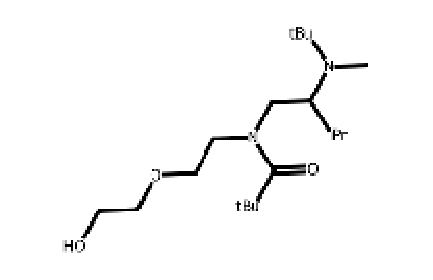 CC(C)C(CN(CCOCCO)C(=O)C(C)(C)C)N(C)C(C)(C)C